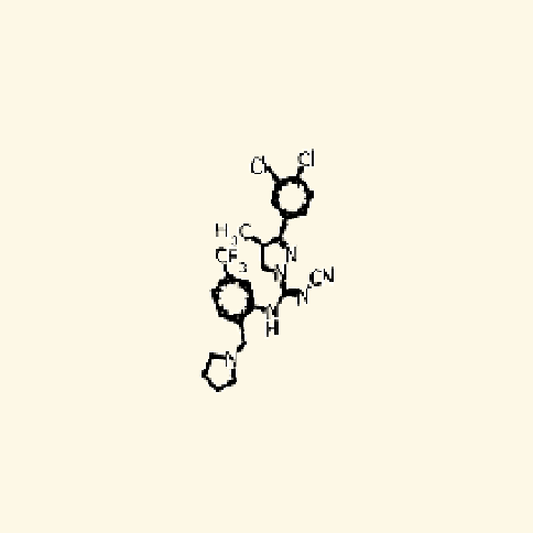 CC1CN(/C(=N\C#N)Nc2cc(C(F)(F)F)ccc2CN2CCCC2)N=C1c1ccc(Cl)c(Cl)c1